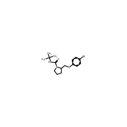 CC(C)(C)NC(=O)N1CCCC1CSc1ccc(Br)cc1